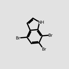 Brc1cc(Br)c2cc[nH]c2c1Br